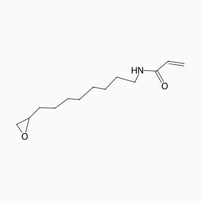 C=CC(=O)NCCCCCCCCC1CO1